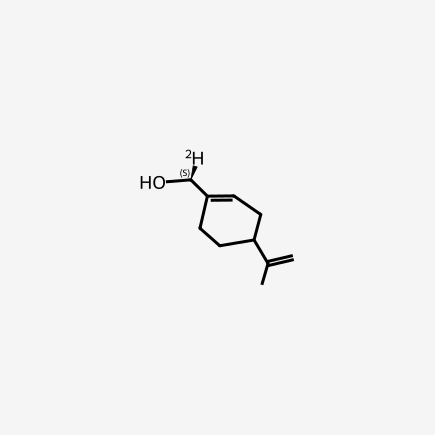 [2H][C@H](O)C1=CCC(C(=C)C)CC1